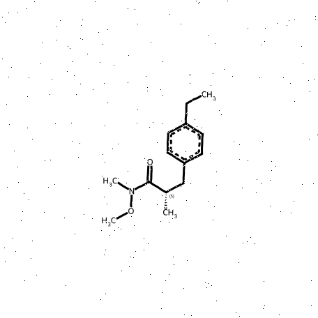 CCc1ccc(C[C@H](C)C(=O)N(C)OC)cc1